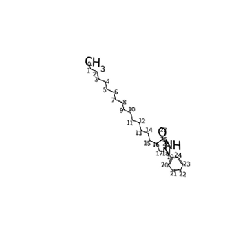 CCCCCCCCCCCCCCCCC1CN(c2ccccc2)NC1=O